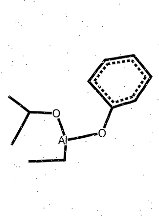 C[CH2][Al]([O]c1ccccc1)[O]C(C)C